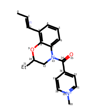 C/C=C/c1cccc2c1OC(CC)CN2C(=O)c1cc[n+](C)cc1